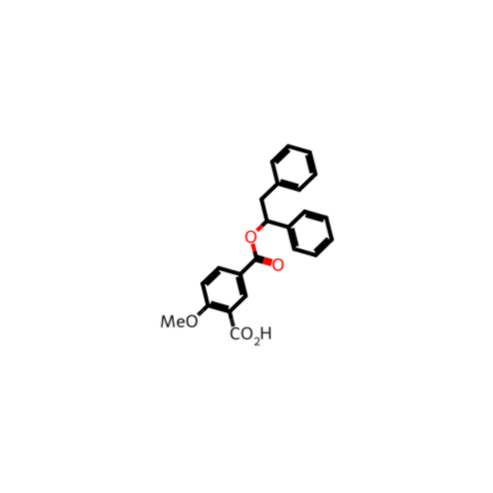 COc1ccc(C(=O)OC(Cc2ccccc2)c2ccccc2)cc1C(=O)O